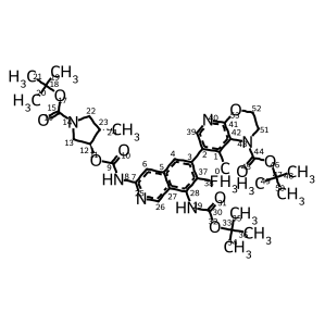 Cc1c(-c2cc3cc(NC(=O)O[C@H]4CN(C(=O)OC(C)(C)C)C[C@@H]4C)ncc3c(NC(=O)OC(C)(C)C)c2F)cnc2c1N(C(=O)OC(C)(C)C)CCO2